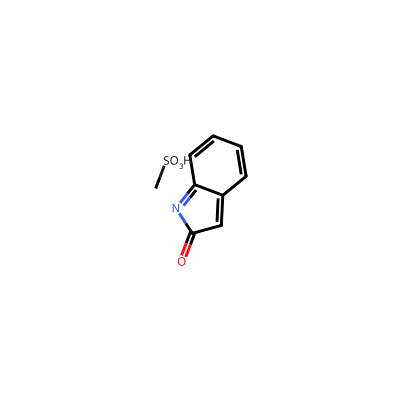 CS(=O)(=O)O.O=C1C=c2ccccc2=N1